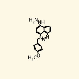 COc1ccc(CN2N=Nc3cccc4c(NN)ccc2c34)cc1